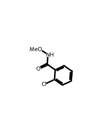 CONC(=O)c1ccccc1Cl